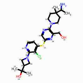 CC(N)C1(C)CCN(c2ncc(Sc3ccnc(N4CC(C(C)(C)O)C4)c3Cl)nc2CO)CC1